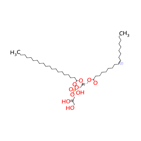 CCCCCCCC/C=C\CCCCCCCC(=O)OC[C@H](COP(=O)(O)OC[C@@H](O)CO)OC(=O)CCCCCCCCCCCCCCCCCCC